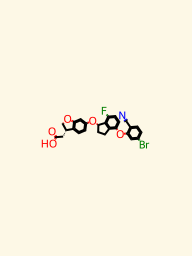 N#Cc1ccc(Br)cc1Oc1ccc(F)c2c1CC[C@H]2Oc1ccc2c(c1)OC[C@H]2CC(=O)O